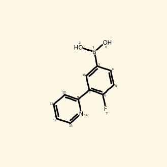 OB(O)c1ccc(F)c(-c2ccccn2)c1